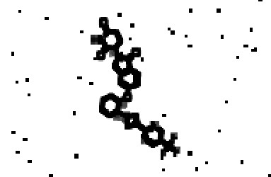 O=C1CC[C@H](N2Cc3cc(O[C@@H]4CCCC[C@@H]4N4CC(c5ncc(C(F)(F)F)cn5)C4)ccc3C2=O)C(=O)N1